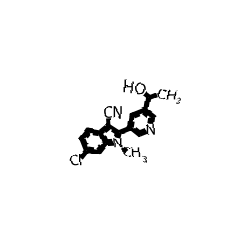 CC(O)c1cncc(-c2c(C#N)c3ccc(Cl)cc3n2C)c1